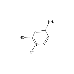 N#Cc1cc(N)cc[n+]1[O-]